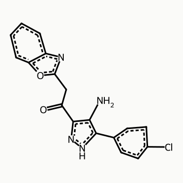 Nc1c(C(=O)Cc2nc3ccccc3o2)n[nH]c1-c1ccc(Cl)cc1